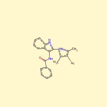 CC(=O)c1c(C)[nH]c(-c2[nH]c3ccccc3c2NC(=O)c2ccccc2)c1C